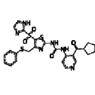 O=C(Nc1nc(CSc2ccccc2)c(S(=O)(=O)c2ncc[nH]2)s1)Nc1ccncc1C(=O)C1CCCC1